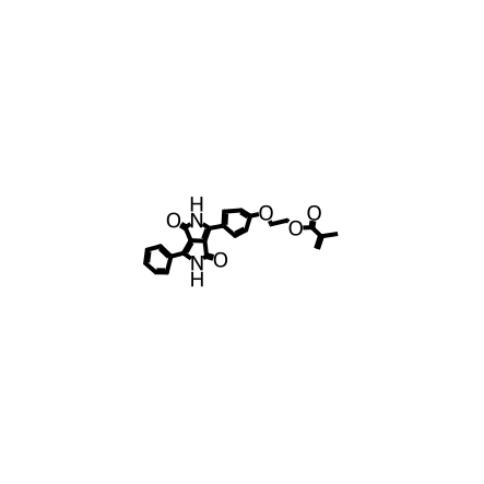 C=C(C)C(=O)OCCOc1ccc(C2=C3C(=O)NC(c4ccccc4)=C3C(=O)N2)cc1